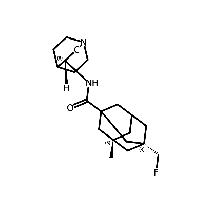 C[C@]12CC3CC(C(=O)N[C@H]4CN5CCC4CC5)(C1)C[C@@](CF)(C3)C2